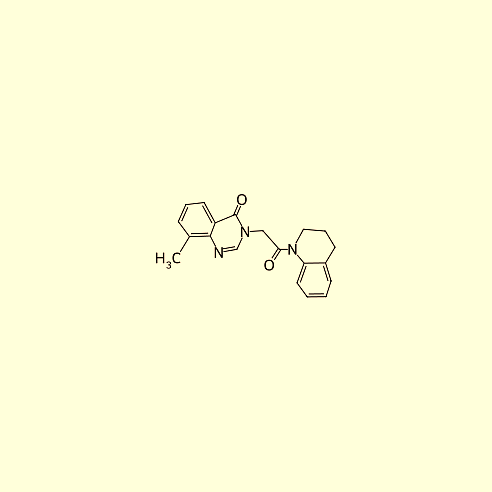 Cc1cccc2c(=O)n(CC(=O)N3CCCc4ccccc43)cnc12